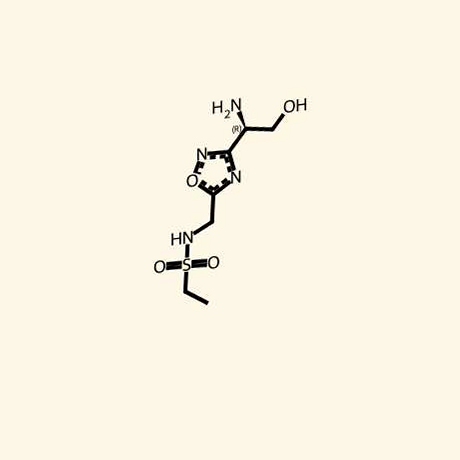 CCS(=O)(=O)NCc1nc([C@@H](N)CO)no1